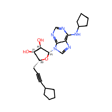 O[C@@H]1[C@H](O)[C@@H](CC#CC2CCCC2)O[C@H]1n1cnc2c(NC3CCCC3)ncnc21